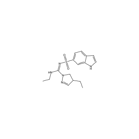 CCN/C(=N/S(=O)(=O)c1ccc2cc[nH]c2c1)N1CC(CC)C=N1